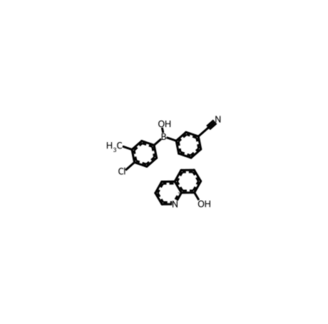 Cc1cc(B(O)c2cccc(C#N)c2)ccc1Cl.Oc1cccc2cccnc12